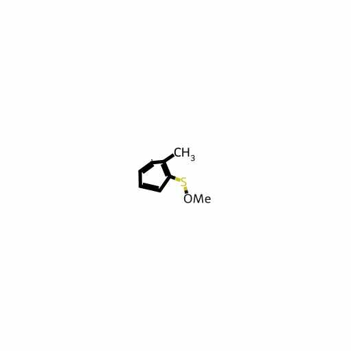 COSc1ccc[c]c1C